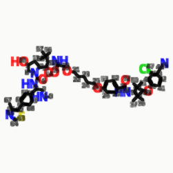 CNCC(NC(=O)N1C[C@@H](O)CC1C(=O)[C@@H](NC(=O)COCCCCCOc1ccc(C(=O)N[C@H]2C(C)(C)[C@H](Oc3ccc(C#N)c(Cl)c3)C2(C)C)cc1)C(C)(C)C)c1ccc(-c2scnc2C)cc1